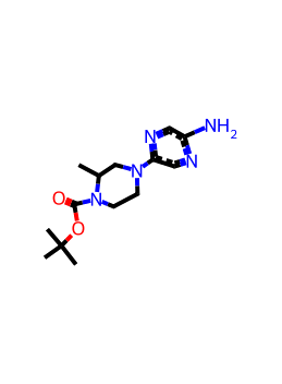 CC1CN(c2cnc(N)cn2)CCN1C(=O)OC(C)(C)C